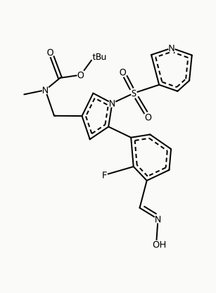 CN(Cc1cc(-c2cccc(C=NO)c2F)n(S(=O)(=O)c2cccnc2)c1)C(=O)OC(C)(C)C